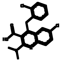 CN(C)c1nc2ccc(Cl)cc2c(Cc2ccccc2Cl)c1C(=O)O